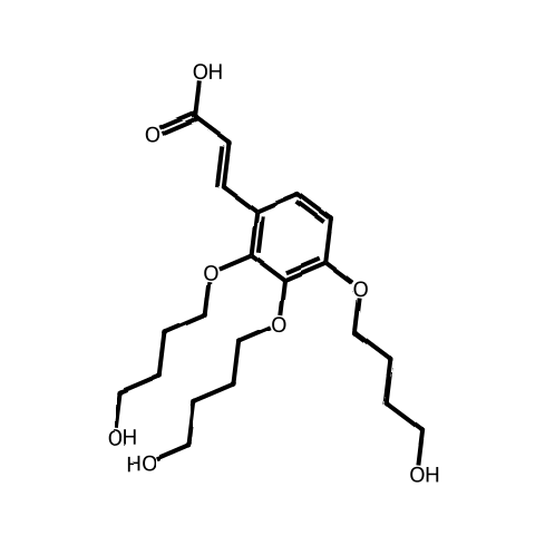 O=C(O)C=Cc1ccc(OCCCCO)c(OCCCCO)c1OCCCCO